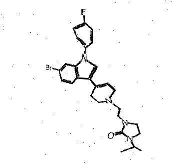 CC(C)N1CCN(CCN2CC=C(c3cn(-c4ccc(F)cc4)c4cc(Br)ccc34)CC2)C1=O